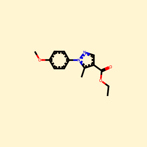 CCOC(=O)c1cnn(-c2ccc(OC)cc2)c1C